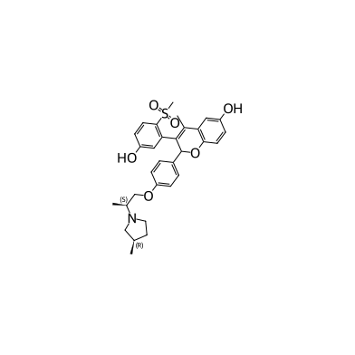 CC1=C(c2cc(O)ccc2S(C)(=O)=O)C(c2ccc(OC[C@H](C)N3CC[C@@H](C)C3)cc2)Oc2ccc(O)cc21